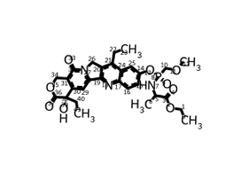 CCOC(=O)C(C)NP(=O)(COC)Oc1ccc2nc3c(c(CC)c2c1)Cn1c-3cc2c(c1=O)COC(=O)[C@]2(O)CC